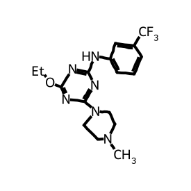 CCOc1nc(Nc2cccc(C(F)(F)F)c2)nc(N2CCN(C)CC2)n1